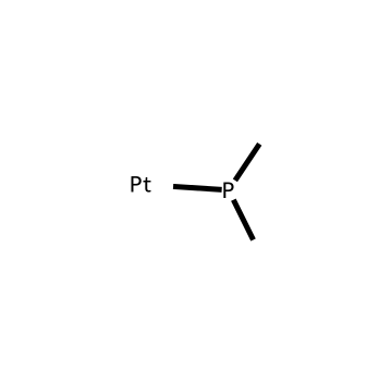 CP(C)C.[Pt]